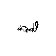 Cc1cc2n(n1)CC[C@H](NC(=O)c1nc3n(n1)CCC3c1ccccc1F)C(=O)N2C